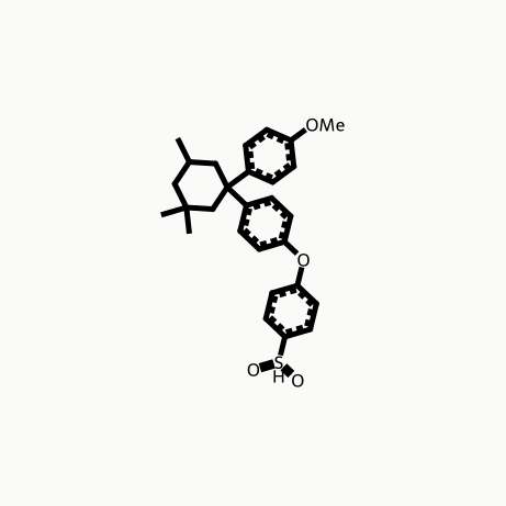 COc1ccc(C2(c3ccc(Oc4ccc([SH](=O)=O)cc4)cc3)CC(C)CC(C)(C)C2)cc1